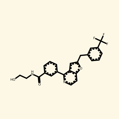 O=C(NCCO)c1cccc(-c2nccc3oc(Cc4cccc(C(F)(F)F)c4)cc23)c1